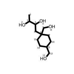 CC(O)C(O)CC1(CO)CCC(CO)CC1